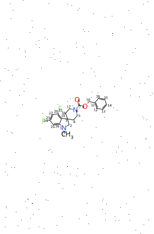 CN1CC2(CCN(C(=O)OCc3ccccc3)CC2)c2c(F)cc(F)cc21